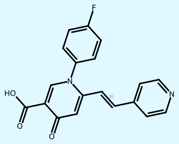 O=C(O)c1cn(-c2ccc(F)cc2)c(/C=C/c2ccncc2)cc1=O